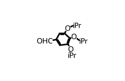 CC(C)Oc1cc(C=O)cc(OC(C)C)c1OC(C)C